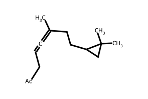 CC(=O)CC=C=C(C)CCC1CC1(C)C